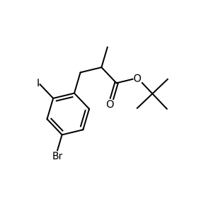 CC(Cc1ccc(Br)cc1I)C(=O)OC(C)(C)C